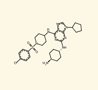 N[C@H]1CC[C@H](Nc2nc(NC3CCN(S(=O)(=O)c4ccc(Cl)cc4)CC3)c3ncn(C4CCCC4)c3n2)CC1